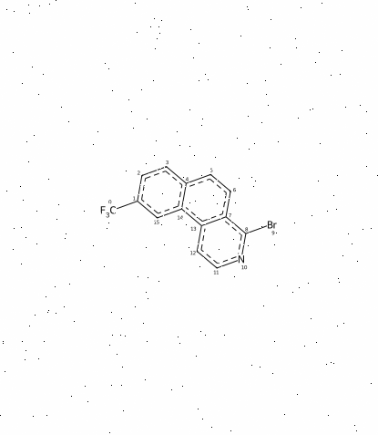 FC(F)(F)c1ccc2ccc3c(Br)nccc3c2c1